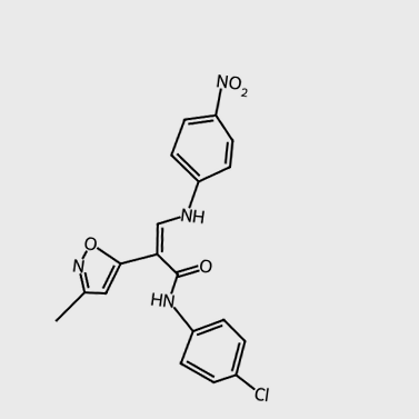 Cc1cc(C(=CNc2ccc([N+](=O)[O-])cc2)C(=O)Nc2ccc(Cl)cc2)on1